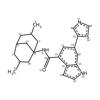 CC1CC2CC(C)CC(NC(=O)c3cc(-c4cncs4)cc4[nH]ccc34)(C1)C2